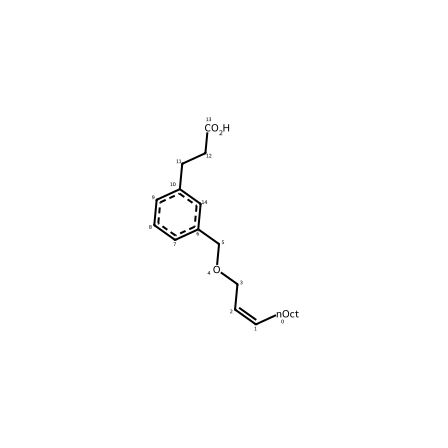 CCCCCCCC/C=C\COCc1cccc(CCC(=O)O)c1